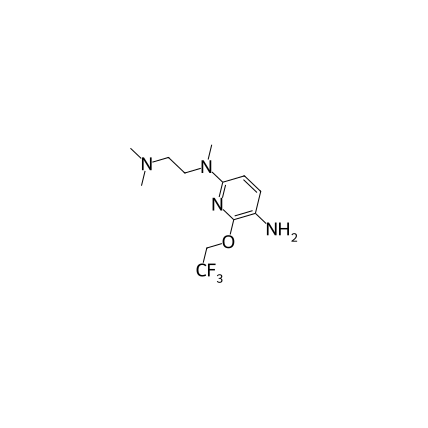 CN(C)CCN(C)c1ccc(N)c(OCC(F)(F)F)n1